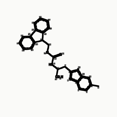 Cc1ccc2nc(CC(NC(=O)OCC3c4ccccc4-c4ccccc43)C(=O)O)sc2c1